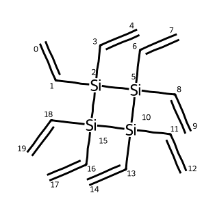 C=C[Si]1(C=C)[Si](C=C)(C=C)[Si](C=C)(C=C)[Si]1(C=C)C=C